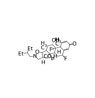 CCC(CC)CN1C[C@@H]2C[C@H]3[C@@H]4C[C@H](F)C5=CC(=O)C=C[C@]5(C)[C@@]4(F)[C@@H](O)C[C@]3(C)[C@]2(C(=O)O)O1